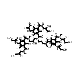 CN(CCCN(CC(O)CN(C)C(=O)c1c(I)c(NC(=O)CO)c(I)c(C(=O)N(C)CC(O)CO)c1I)C(=O)c1c(I)c(NC(=O)CO)c(I)c(C(=O)N(C)CC(O)CO)c1I)C(=O)c1c(I)c(NC(=O)CO)c(I)c(C(=O)N(C)CC(O)CO)c1I